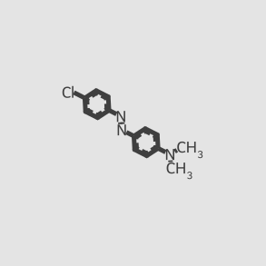 CN(C)c1ccc(N=Nc2ccc(Cl)cc2)cc1